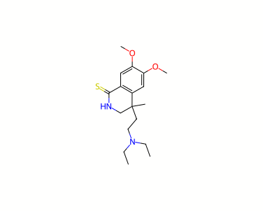 CCN(CC)CCC1(C)CNC(=S)c2cc(OC)c(OC)cc21